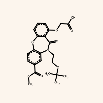 COC(=O)c1ccc2c(c1)N(CCOC(C)(C)C)C(=O)c1c(OCC(=O)O)cccc1O2